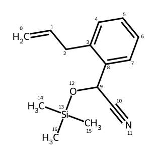 C=CCc1ccccc1C(C#N)O[Si](C)(C)C